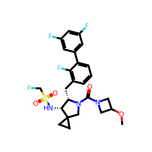 COC1CN(C(=O)N2CC3(CC3)[C@H](NS(=O)(=O)CF)[C@@H]2Cc2cccc(-c3cc(F)cc(F)c3)c2F)C1